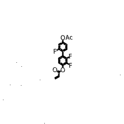 C=CC(=O)Oc1ccc(-c2ccc(OC(C)=O)cc2F)c(F)c1F